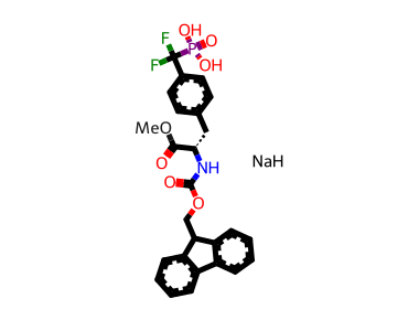 COC(=O)[C@H](Cc1ccc(C(F)(F)P(=O)(O)O)cc1)NC(=O)OCC1c2ccccc2-c2ccccc21.[NaH]